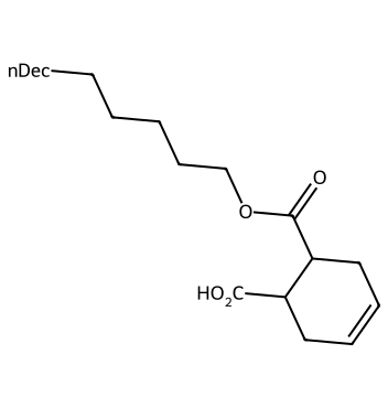 CCCCCCCCCCCCCCCOC(=O)C1CC=CCC1C(=O)O